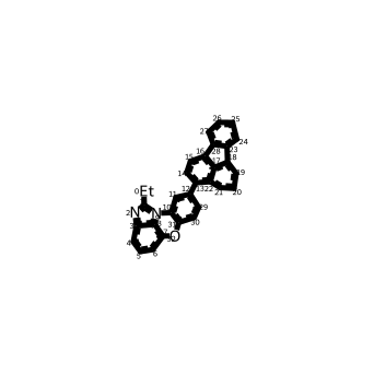 CCc1nc2cccc3c2n1-c1cc(-c2ccc4c5c(cccc25)-c2ccccc2-4)ccc1O3